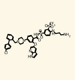 NCCCNc1ccc(S(=O)(=O)NC(=O)c2ccc(N3CCN(Cc4ccccc4-c4ccc(Cl)cc4)CC3)cc2Oc2cnc3[nH]ccc3c2)cc1S(=O)(=O)C(F)(F)F